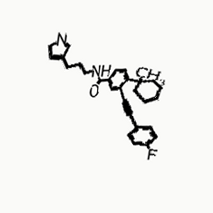 CC1(c2ccc(C(=O)NCCCC3=CCN=C3)cc2C#Cc2ccc(F)cc2)CCCCC1